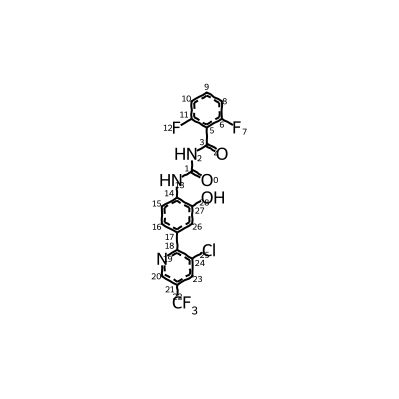 O=C(NC(=O)c1c(F)cccc1F)Nc1ccc(-c2ncc(C(F)(F)F)cc2Cl)cc1O